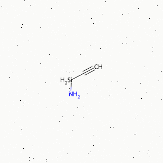 C#C[SiH2]N